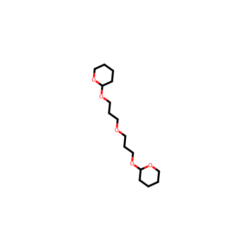 C1CCC(OCCCOCCCOC2CCCCO2)OC1